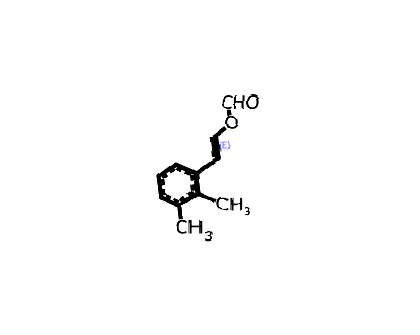 Cc1cccc(/C=C/OC=O)c1C